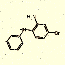 Nc1cc(Br)ccc1Nc1c[c]ccc1